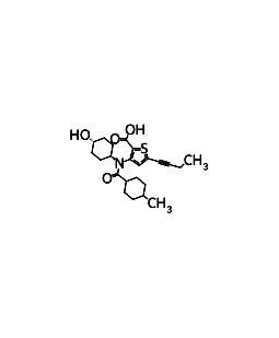 CCC#Cc1cc(N(C(=O)C2CCC(C)CC2)[C@H]2CC[C@H](O)CC2)c(C(=O)O)s1